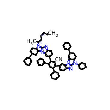 C=C/C=C\C=C(/C)n1c2ccc(-c3ccccc3)cc2n2c3cc(-c4c(-c5ccccc5)cc(-c5ccccc5)c(-c5ccc6nc7n(-c8ccccc8)c8ccc(-c9ccccc9)cc8n7c6c5)c4C#N)ccc3nc12